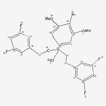 COc1cc(C(O)(CCc2cc(F)cc(F)c2)CCc2cc(F)cc(F)c2)cc(OC)c1C(C)C